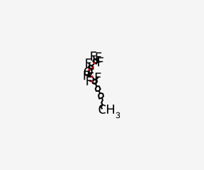 CCCCCC1CCC(C2CCC(c3cc(F)c(/C=C/C(F)(F)Oc4ccc(-c5cc(F)c(F)c(F)c5)c(F)c4)c(F)c3)CC2)CC1